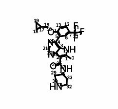 Cc1[nH]c2c(-c3cc(C(F)(F)F)ccc3OCC3CC3)ncnc2c1C(=O)NC1CCNCC1